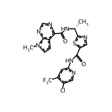 C[C@@H](NC(=O)c1ncnc2c1ccn2C)c1ncc(C(=O)Nc2cc(C(F)(F)F)c(Cl)cn2)s1